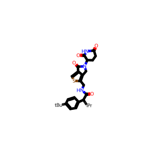 CC(C)C(C(=O)NCc1scc2c1CN(C1CCC(=O)NC1=O)C2=O)c1ccc(C(C)(C)C)cc1